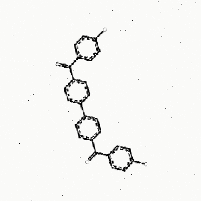 O=C(c1ccc(Cl)cc1)c1ccc(-c2ccc(C(=O)c3ccc(Cl)cc3)cc2)cc1